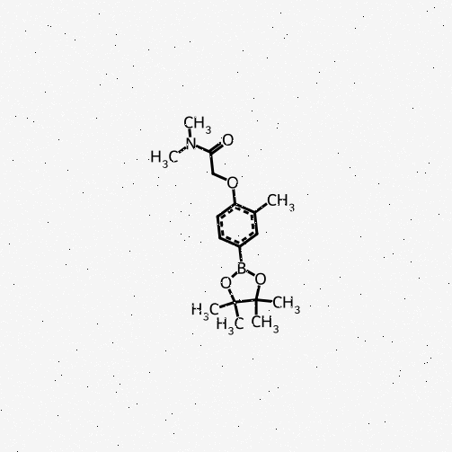 Cc1cc(B2OC(C)(C)C(C)(C)O2)ccc1OCC(=O)N(C)C